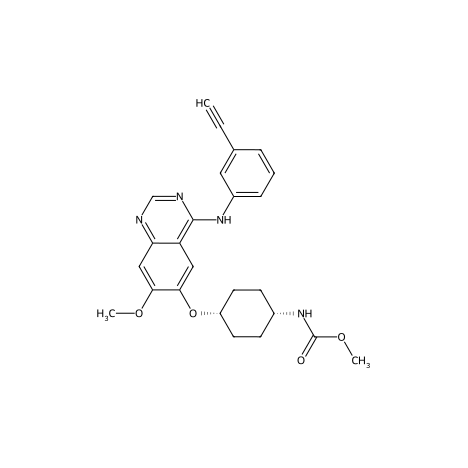 C#Cc1cccc(Nc2ncnc3cc(OC)c(O[C@H]4CC[C@@H](NC(=O)OC)CC4)cc23)c1